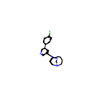 Fc1ccc(-c2cncc(N3CCN4CCCC3CCC4)c2)cc1